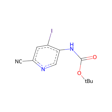 CC(C)(C)OC(=O)Nc1cnc(C#N)cc1I